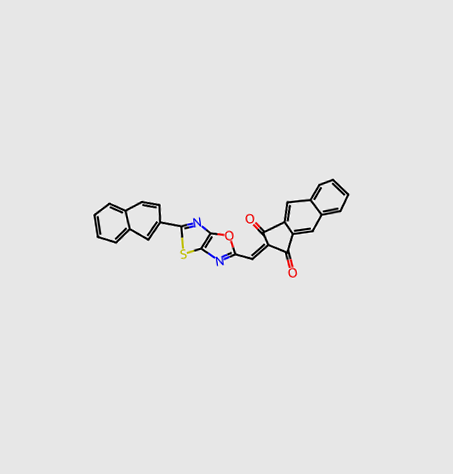 O=C1C(=Cc2nc3sc(-c4ccc5ccccc5c4)nc3o2)C(=O)c2cc3ccccc3cc21